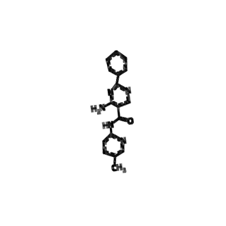 Cc1ccc(NC(=O)c2cnc(-c3ccccc3)nc2N)nc1